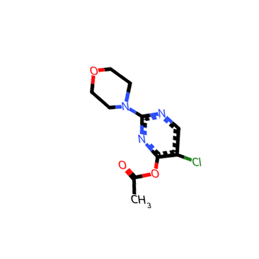 CC(=O)Oc1nc(N2CCOCC2)ncc1Cl